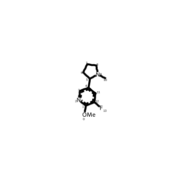 COc1ncc(C2CCCN2C)cc1F